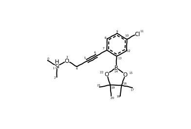 C[SiH](C)OCC#Cc1ccc(Cl)cc1B1OC(C)(C)C(C)(C)O1